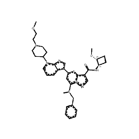 COCCN1CCC(n2cccc3c(-c4cc(N(C)Cc5ccccc5)n5ncc(C(=O)N[C@@H]6CC[C@H]6OC)c5n4)cnc2-3)CC1